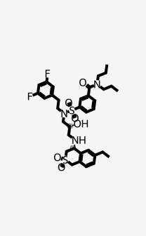 CCCN(CCC)C(=O)c1cccc(S(=O)(=O)N(CCc2cc(F)cc(F)c2)C[C@H](O)CN[C@H]2CS(=O)(=O)Cc3ccc(CC)cc32)c1